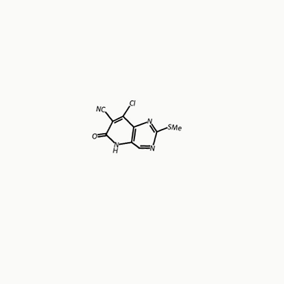 CSc1ncc2[nH]c(=O)c(C#N)c(Cl)c2n1